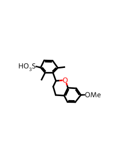 COc1ccc2c(c1)OC(c1c(C)ccc(S(=O)(=O)O)c1C)CC2